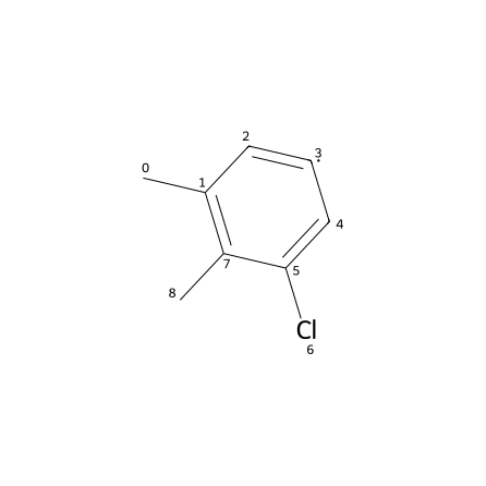 Cc1c[c]cc(Cl)c1C